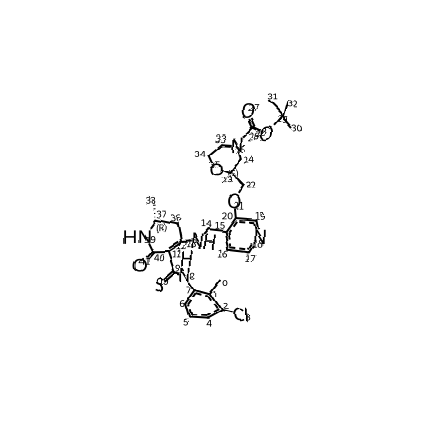 Cc1c(Cl)cccc1NC(=S)C1=C(NCc2ccncc2OC[C@@H]2CN(C(=O)OC(C)(C)C)CCO2)C[C@@H](C)NC1=O